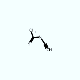 C#C[N]C(C)=S